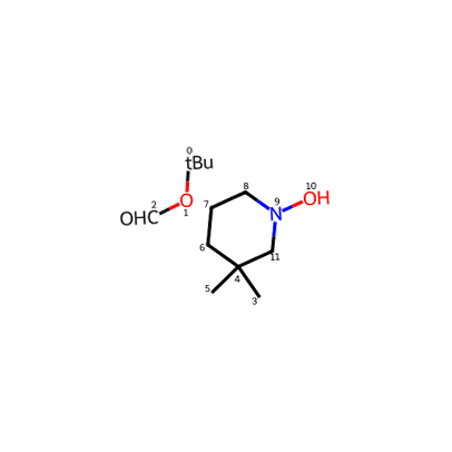 CC(C)(C)OC=O.CC1(C)CCCN(O)C1